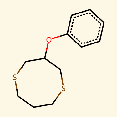 c1ccc(OC2CSCCCSC2)cc1